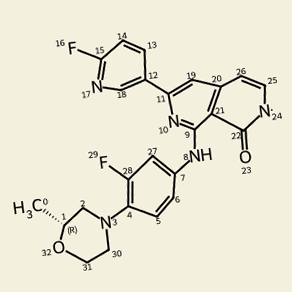 C[C@@H]1CN(c2ccc(Nc3nc(-c4ccc(F)nc4)cc4c3C(=O)[N]C=C4)cc2F)CCO1